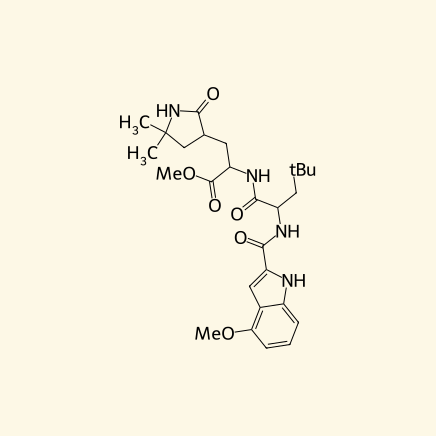 COC(=O)C(CC1CC(C)(C)NC1=O)NC(=O)C(CC(C)(C)C)NC(=O)c1cc2c(OC)cccc2[nH]1